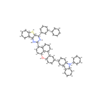 c1ccc(-c2cccc(-c3nc(-c4ccc5c6c(cccc46)-c4cc(-c6ccc7c(c6)c6ccccc6n7-c6ccccc6)ccc4O5)nc4c3sc3ccccc34)c2)cc1